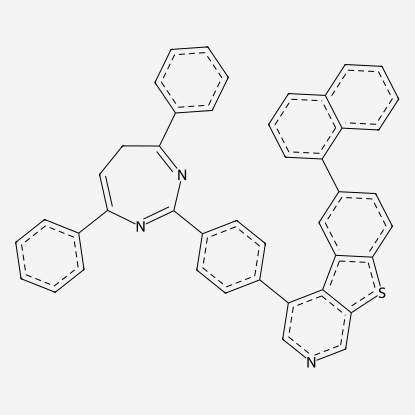 C1=C(c2ccccc2)N=C(c2ccc(-c3cncc4sc5ccc(-c6cccc7ccccc67)cc5c34)cc2)N=C(c2ccccc2)C1